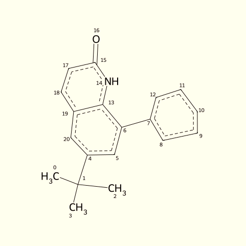 CC(C)(C)c1cc(-c2ccccc2)c2[nH]c(=O)ccc2c1